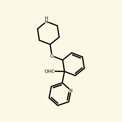 O=CC1(c2ccccn2)C=CC=CC1OC1CCNCC1